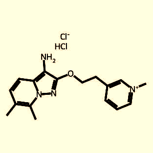 Cc1ccc2c(N)c(OCCc3ccc[n+](C)c3)nn2c1C.Cl.[Cl-]